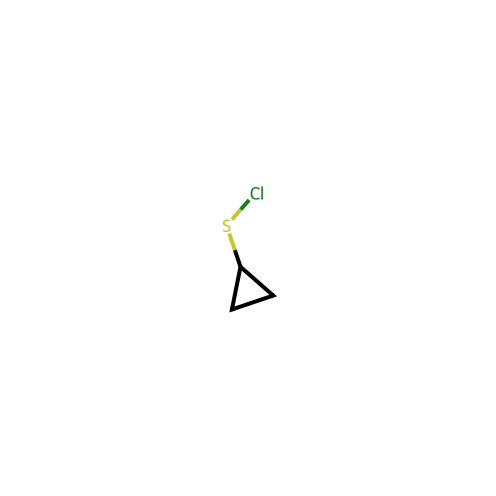 ClSC1CC1